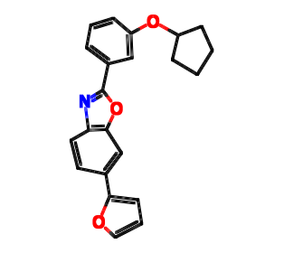 c1cc(OC2CCCC2)cc(-c2nc3ccc(-c4ccco4)cc3o2)c1